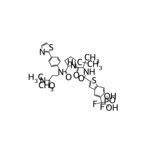 CN(C)C(=O)CCN(C(=O)C1CCCN1C(=O)C(NC(=O)c1cc2cc(C(F)(F)P(=O)(O)O)ccc2s1)C(C)(C)C)c1ccc(-c2nccs2)cc1